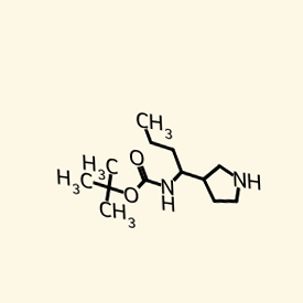 CCCC(NC(=O)OC(C)(C)C)C1CCNC1